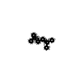 c1ccc(-c2cc(-c3ccccc3)nc(-c3cccc(-c4cccc5c4sc4c6ccccc6n(-c6ccccc6)c54)c3)n2)cc1